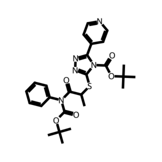 CC(Sc1nnc(-c2ccncc2)n1C(=O)OC(C)(C)C)C(=O)N(C(=O)OC(C)(C)C)c1ccccc1